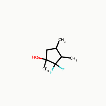 CC1CC(O)(C(F)(F)F)C(F)(F)C1C